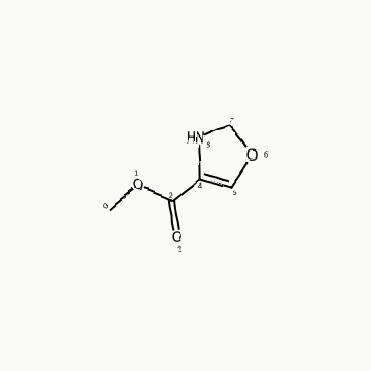 COC(=O)C1=COCN1